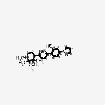 CN1CCC(c2ccc(-c3ccc(-n4cccn4)cc3O)nn2)C(C)(C)C1(C)C